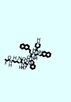 CC(F)C(=O)NCCCC[C@H](NC(=O)[C@H](CO)NC(=O)[C@H](Cc1ccccc1)NC(=O)[C@@H](CCc1ccc2ccccc2c1)NC(=O)[C@@H](Cc1ccc2ccccc2c1)NC(=O)C1CCNCC1)C(N)=O